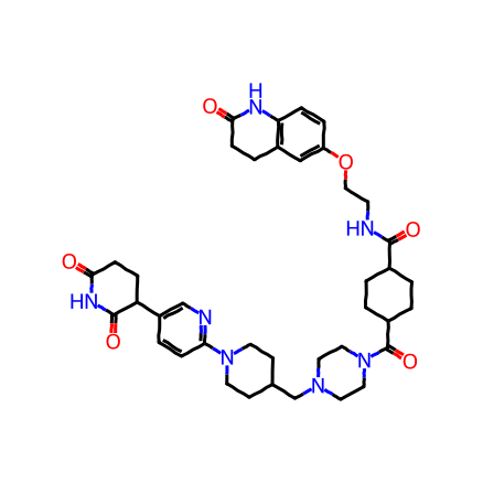 O=C1CCC(c2ccc(N3CCC(CN4CCN(C(=O)C5CCC(C(=O)NCCOc6ccc7c(c6)CCC(=O)N7)CC5)CC4)CC3)nc2)C(=O)N1